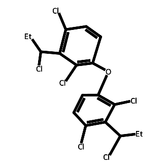 CCC(Cl)c1c(Cl)ccc(Oc2ccc(Cl)c(C(Cl)CC)c2Cl)c1Cl